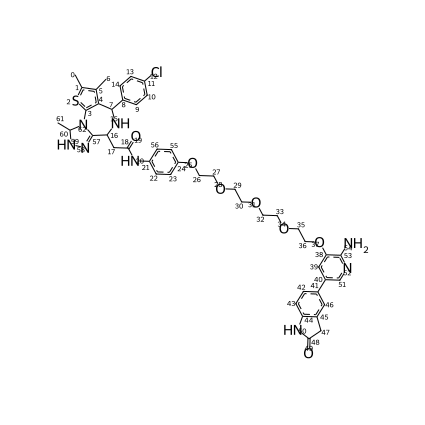 Cc1sc2c(c1C)C(c1ccc(Cl)cc1)NC(CC(=O)Nc1ccc(OCCOCCOCCOCCOc3cc(-c4ccc5c(c4)CC(=O)N5)cnc3N)cc1)C1=NNC(C)N12